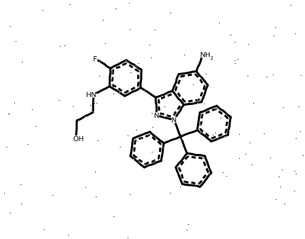 Nc1ccc2c(c1)c(-c1ccc(F)c(NCCO)c1)nn2C(c1ccccc1)(c1ccccc1)c1ccccc1